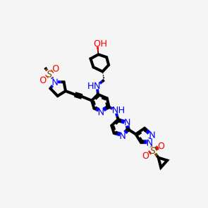 CS(=O)(=O)N1CCC(C#Cc2cnc(Nc3ccnc(-c4cnn(S(=O)(=O)C5CC5)c4)n3)cc2NC[C@H]2CC[C@H](O)CC2)C1